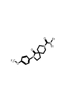 CCN(CC)C(=O)N1CCC2(CC1)CCN(c1ccc(OC(F)(F)F)cc1)C2=O